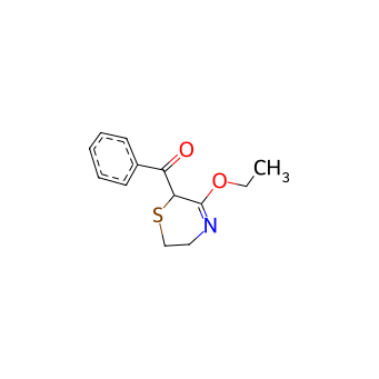 CCOC1=NCCSC1C(=O)c1ccccc1